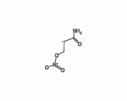 NC(=O)[CH]CO[N+](=O)[O-]